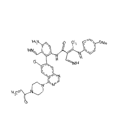 C=CC(=O)N1CCN(c2ncnc3cc(-c4c(NC(=O)/C(C=N)=C(/Nc5ccc(OC)cc5)C(F)(F)F)ccc(N)c4C=N)c(Cl)cc23)CC1